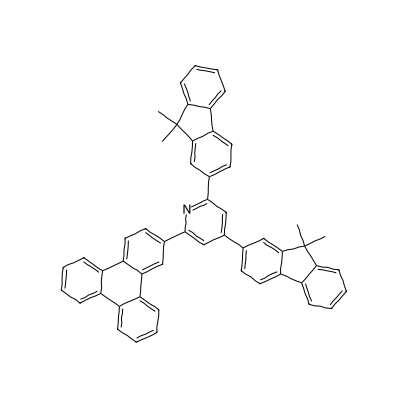 CC1(C)c2ccccc2-c2ccc(-c3cc(-c4ccc5c(c4)C(C)(C)c4ccccc4-5)nc(-c4ccc5c6ccccc6c6ccccc6c5c4)c3)cc21